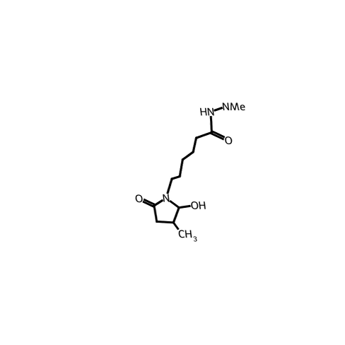 CNNC(=O)CCCCCN1C(=O)CC(C)C1O